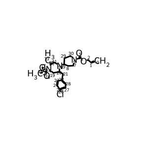 C=CCOC(=O)N1CCC(N2C[C@H](C)N(S(C)(=O)=O)CC2Cc2ccc(Cl)cc2)CC1